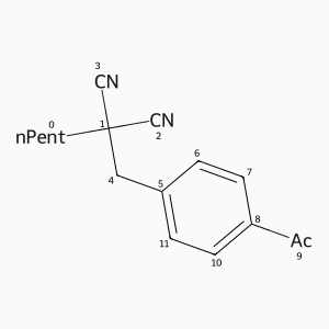 CCCCCC(C#N)(C#N)Cc1ccc(C(C)=O)cc1